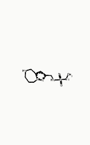 CNS(=O)(=O)NCc1cc2n(n1)CCCNC2